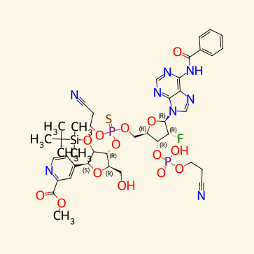 COC(=O)c1cc([C@@H]2O[C@H](CO)[C@@H](OP(=S)(OCCC#N)OC[C@H]3O[C@@H](n4cnc5c(NC(=O)c6ccccc6)ncnc54)[C@H](F)[C@@H]3OP(=O)(O)OCCC#N)C2O[Si](C)(C)C(C)(C)C)ccn1